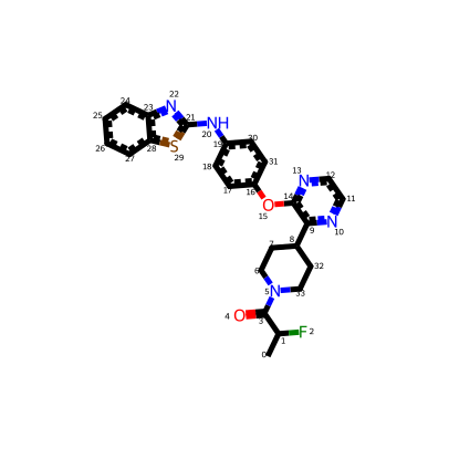 CC(F)C(=O)N1CCC(c2nccnc2Oc2ccc(Nc3nc4ccccc4s3)cc2)CC1